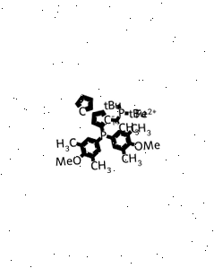 COc1c(C)cc(P(c2cc(C)c(OC)c(C)c2)c2ccc[c-]2[C@@H](C)P(C(C)(C)C)C(C)(C)C)cc1C.[Fe+2].c1cc[cH-]c1